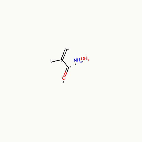 C=C(C)C=O.N.O